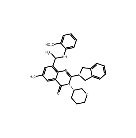 Cc1cc(C(C)Nc2ccccc2C(=O)O)c2nc(N3Cc4ccccc4C3)n([C@H]3CCCOC3)c(=O)c2c1